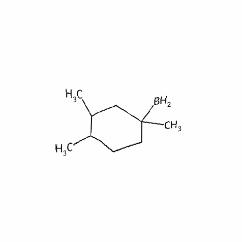 BC1(C)CCC(C)C(C)C1